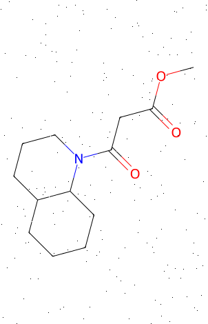 COC(=O)CC(=O)N1CCCC2CCCCC21